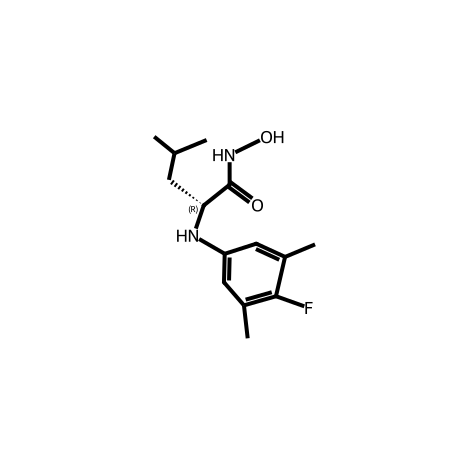 Cc1cc(N[C@H](CC(C)C)C(=O)NO)cc(C)c1F